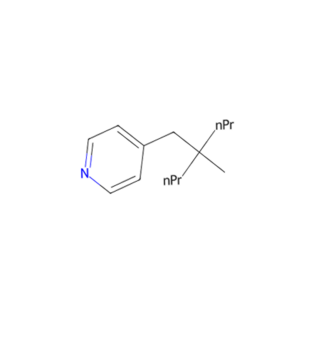 CCCC(C)(CCC)Cc1ccncc1